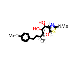 CNC1=N[C@@H]2C(O)[C@H](O)[C@@H]([C@H](CCc3ccc(OC)cc3)C(F)(F)F)O[C@@H]2S1